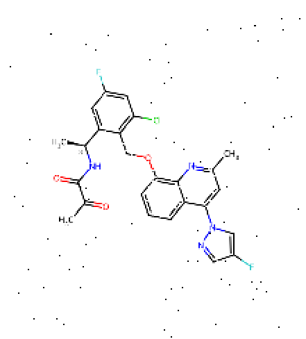 CC(=O)C(=O)N[C@@H](C)c1cc(F)cc(Cl)c1COc1cccc2c(-n3cc(F)cn3)cc(C)nc12